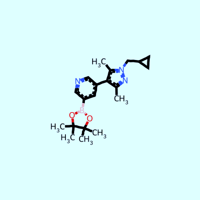 Cc1nn(CC2CC2)c(C)c1-c1cncc(B2OC(C)(C)C(C)(C)O2)c1